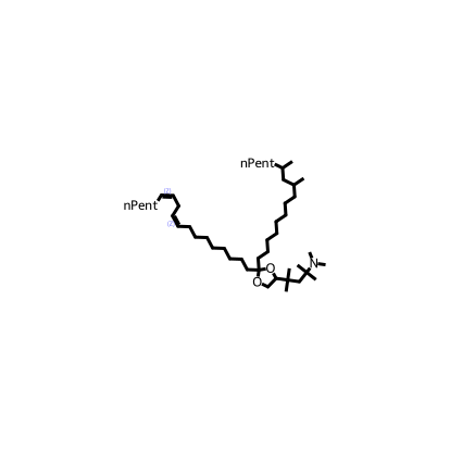 CCCCC/C=C\C/C=C\CCCCCCCCC1(CCCCCCCCC(C)CC(C)CCCCC)OCC(C(C)(C)CC(C)(C)N(C)C)O1